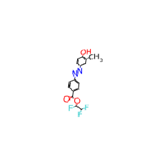 Cc1cc(N=Nc2ccc(C(=O)OC(F)C(F)F)cc2)ccc1O